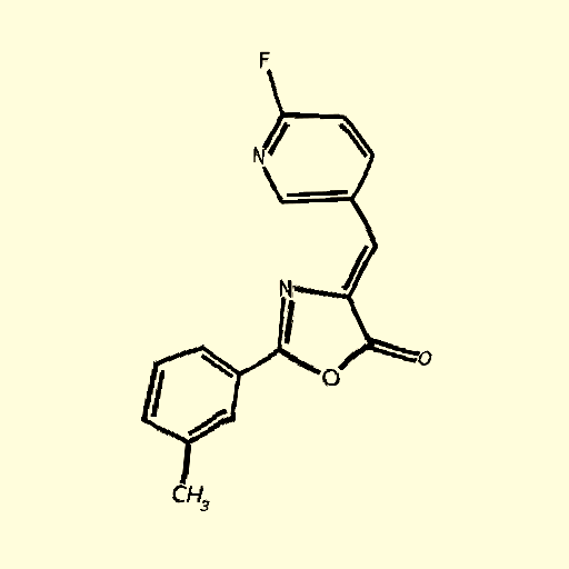 Cc1cccc(C2=N/C(=C\c3ccc(F)nc3)C(=O)O2)c1